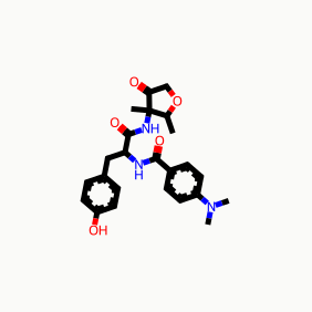 CC1OCC(=O)C1(C)NC(=O)C(Cc1ccc(O)cc1)NC(=O)c1ccc(N(C)C)cc1